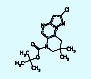 CC1(C)Cc2c(cnc3cc(Cl)nn23)N(C(=O)OC(C)(C)C)C1